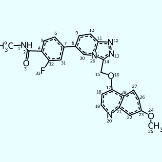 CNC(=O)c1ccc(-c2ccc3nnc(COc4ccnc5cc(OC)ccc45)n3c2)cc1F